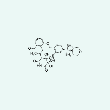 BC(B)(c1ccc(COc2cccc(C=O)c2CN(C)C2C(=O)NC(=O)C(O)(O)C2(O)O)c(F)c1)N1CCOCC1